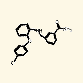 NC(=O)c1cccc(CNc2ccccc2Oc2ccc(Cl)cc2)c1